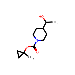 CC(O)C1CCN(C(=O)OC2(C)CC2)CC1